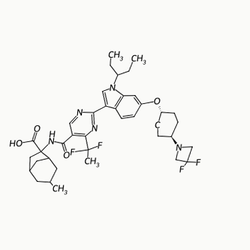 CCC(CC)n1cc(-c2ncc(C(=O)NC3(C(=O)O)CC4CC(C)CC3C4)c(C(C)(F)F)n2)c2ccc(O[C@H]3CC[C@H](N4CC(F)(F)C4)CC3)cc21